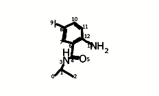 CC(C)NC(=O)c1cc(I)ccc1N